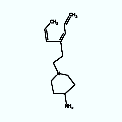 C=C/C=C(\C=C/C)CCN1CCC(N)CC1